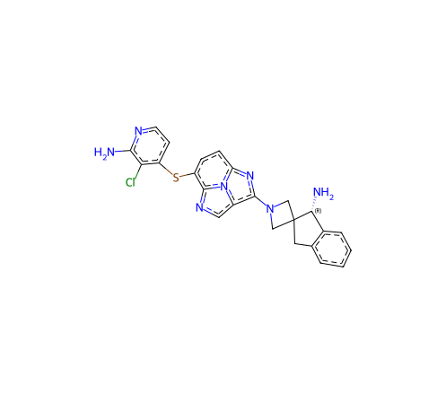 Nc1nccc(Sc2ccc3nc(N4CC5(Cc6ccccc6[C@H]5N)C4)c4cnc2n34)c1Cl